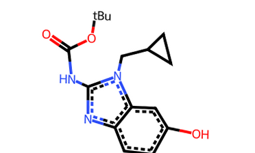 CC(C)(C)OC(=O)Nc1nc2ccc(O)cc2n1CC1CC1